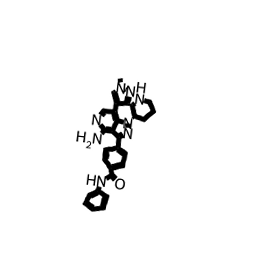 Cn1cc(-c2cnc(N)c3c(-c4ccc(C(=O)Nc5ccccc5)cc4)nn([C@@H]4CCCNC4)c23)cn1